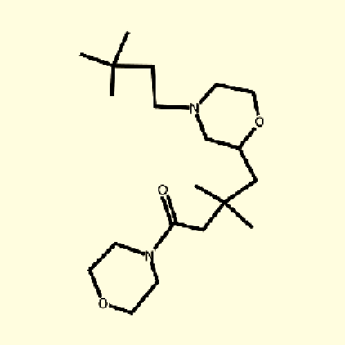 CC(C)(C)CCN1CCOC(CC(C)(C)CC(=O)N2CCOCC2)C1